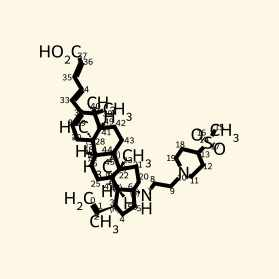 C=C(C)[C@@H]1CC[C@]2(NCCN3CCC(S(C)(=O)=O)CC3)CC[C@]3(C)[C@H](CC[C@@H]4[C@@]5(C)CC=C(C=CC=CC(=O)O)C(C)(C)[C@@H]5CC[C@]43C)[C@@H]12